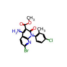 COC(=O)c1c(N)c2ccc(Br)nc2n(-c2ccc(Cl)cc2C)c1=O